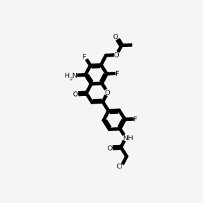 CC(=O)OCc1c(F)c(N)c2c(=O)cc(-c3ccc(NC(=O)CCl)c(F)c3)oc2c1F